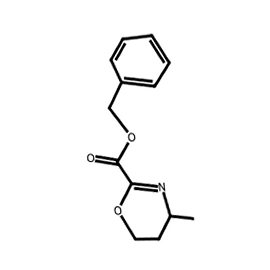 CC1CCOC(C(=O)OCc2ccccc2)=N1